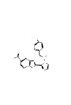 COc1ccc(CN(C(C)=O)n2ccnc2-c2nc3cc(C(=N)N)ccc3[nH]2)cc1